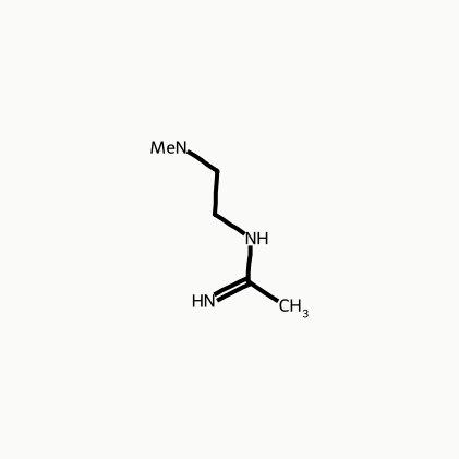 CNCCNC(C)=N